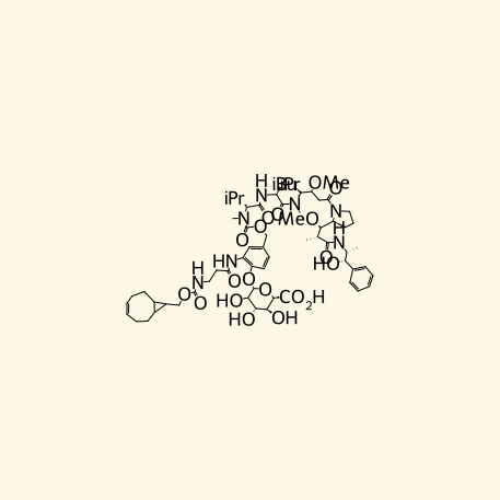 CC[C@H](C)[C@@H]([C@@H](CC(=O)N1CCC[C@H]1[C@H](OC)[C@@H](C)C(=O)N[C@H](C)[C@@H](O)c1ccccc1)OC)N(C)C(=O)[C@@H](NC(=O)[C@H](C(C)C)N(C)C(=O)OCc1ccc(O[C@@H]2O[C@@H](C(=O)O)[C@@H](O)[C@H](O)C2O)c(NC(=O)CCNC(=O)OCC2C3CC/C=C\CCC32)c1)C(C)C